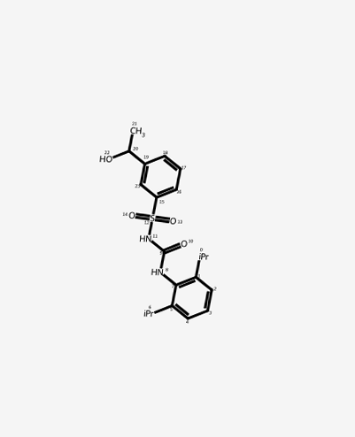 CC(C)c1cccc(C(C)C)c1NC(=O)NS(=O)(=O)c1cccc(C(C)O)c1